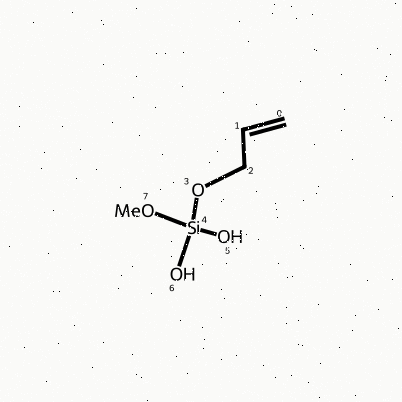 C=CCO[Si](O)(O)OC